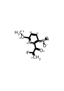 C=C(F)C(=O)c1nc(OC)ccc1[N+](=O)[O-]